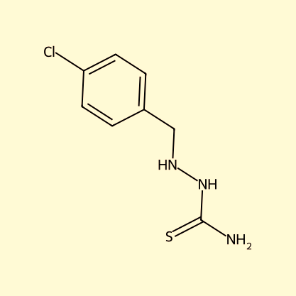 NC(=S)NNCc1ccc(Cl)cc1